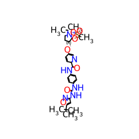 CC(C)[N+]1(OS(C)(=O)=O)CC[C@@H](COc2ccc(C(=O)Nc3ccc(NC(=O)Nc4cc(C(C)(C)C)on4)cc3)nc2)C1